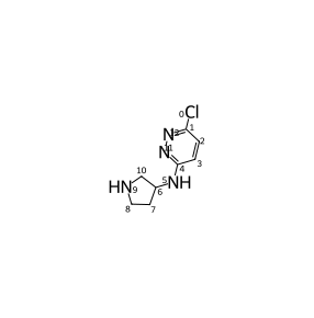 Clc1ccc(NC2CCNC2)nn1